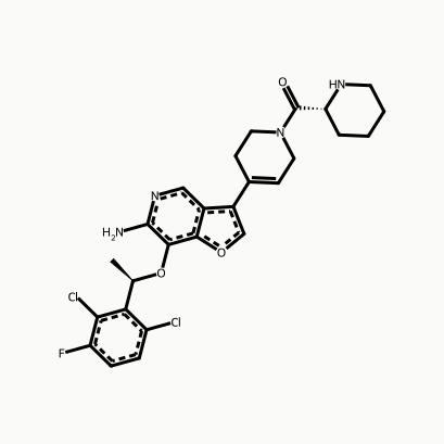 C[C@@H](Oc1c(N)ncc2c(C3=CCN(C(=O)[C@H]4CCCCN4)CC3)coc12)c1c(Cl)ccc(F)c1Cl